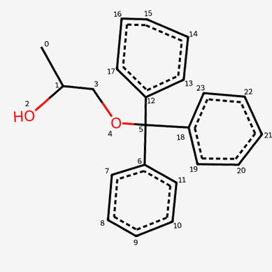 CC(O)COC(c1ccccc1)(c1ccccc1)c1ccccc1